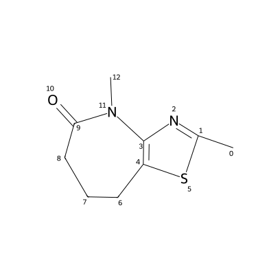 Cc1nc2c(s1)CCCC(=O)N2C